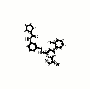 O=C(Nc1cccc(CNc2cc(-c3ccccc3Cl)nc3c(Br)cnn23)c1)C1CCCC1